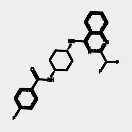 O=C(N[C@H]1CC[C@@H](Nc2nc(C(F)F)nc3ccccc23)CC1)c1ccc(F)cc1